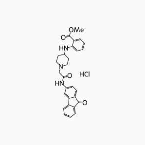 COC(=O)c1ccccc1NC1CCN(CC(=O)Nc2ccc3c(c2)-c2ccccc2C3=O)CC1.Cl